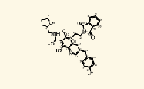 O=C(NCC1CCCO1)c1c(O)c2ncc(Cc3ccc(F)cc3)cc2n(CCN2C(=O)c3ccccc3C2=O)c1=O